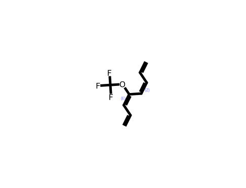 C=C/C=C\C(=C/C=C)OC(F)(F)F